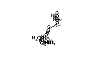 Cc1cnc(Nc2ccc(N3CCN(C(=O)CCCCNc4ccc5c(c4)C(=O)N(C4CCC(=O)NC4=O)C5=O)CC3)cc2)nc1Nc1cccc(S(=O)(=O)NC(C)(C)C)c1